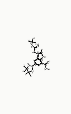 COC(=O)c1cc(B2OC(C)(C)C(C)(C)O2)cc2c1nc(C)n2CC(=O)OC(C)(C)C